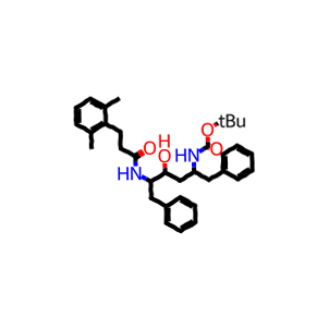 Cc1cccc(C)c1CCC(=O)NC(Cc1ccccc1)C(O)CC(Cc1ccccc1)NC(=O)OC(C)(C)C